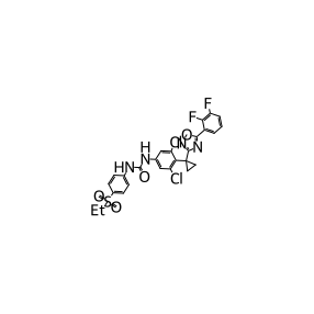 CCS(=O)(=O)c1ccc(NC(=O)Nc2cc(Cl)c(C3(c4noc(-c5cccc(F)c5F)n4)CC3)c(Cl)c2)cc1